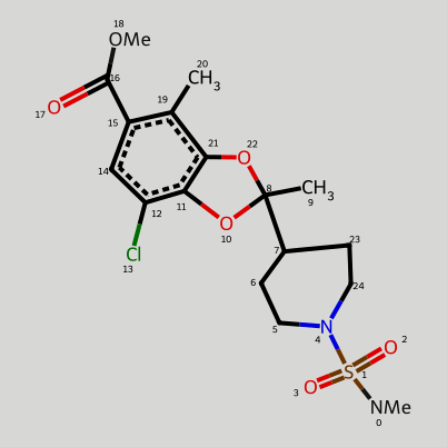 CNS(=O)(=O)N1CCC(C2(C)Oc3c(Cl)cc(C(=O)OC)c(C)c3O2)CC1